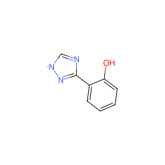 Oc1ccccc1C1=N[N]C=N1